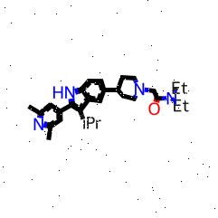 CCN(CC)C(=O)CN1CCC(c2ccc3[nH]c(-c4cc(C)nc(C)c4)c(C(C)C)c3c2)CC1